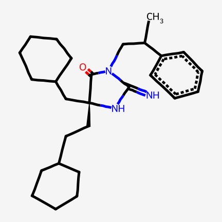 CC(CN1C(=N)N[C@](CCC2CCCCC2)(CC2CCCCC2)C1=O)c1ccccc1